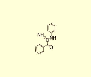 N.O=C(ONc1ccccc1)c1ccccc1